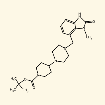 Cn1c(=O)[nH]c2cccc(CN3CCN(C4CCN(C(=O)OC(C)(C)C)CC4)CC3)c21